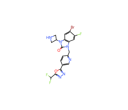 O=c1n(Cc2ccc(-c3nnc(C(F)F)o3)cn2)c2cc(F)c(Br)cc2n1C1CNC1